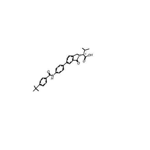 CC(C)[C@@H](C(=O)O)N1Cc2ccc(-c3ccc(NC(=O)c4ccc(C(C)(C)C)cc4)cc3)cc2C1=O